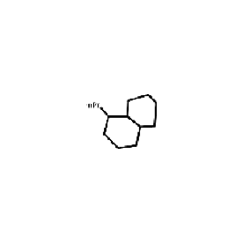 CC[CH]C1CCCC2CCCCC12